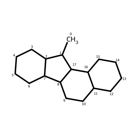 CC1C2CCCCC2C2CCC3CCCCC3C12